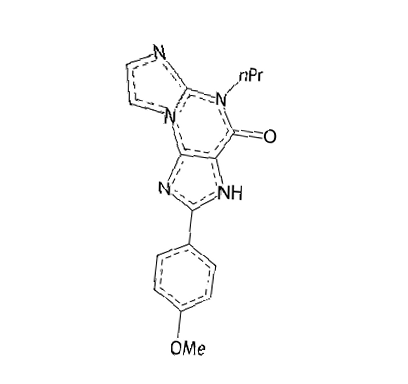 CCCn1c(=O)c2[nH]c(-c3ccc(OC)cc3)nc2n2ccnc12